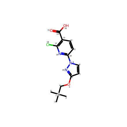 C[Si](C)(C)COc1ccn(-c2ccc(C(=O)O)c(Cl)n2)n1